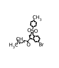 Cc1ccc(S(=O)(=O)n2cc(C(=O)CCN(C)C)c3cc(Br)ccc32)cc1